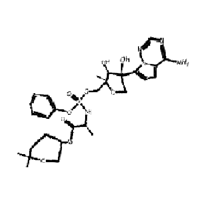 C[C@H](NP(=O)(OC[C@@]1(C)OC[C@@](O)(c2ccc3c(N)ncnn23)[C@@H]1O)Oc1ccccc1)C(=O)OC1CCC(C)(C)CC1